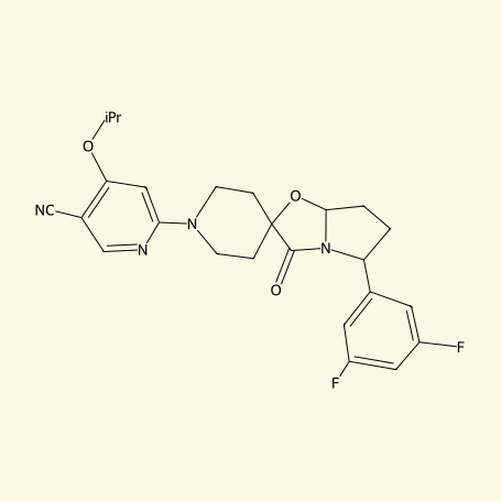 CC(C)Oc1cc(N2CCC3(CC2)OC2CCC(c4cc(F)cc(F)c4)N2C3=O)ncc1C#N